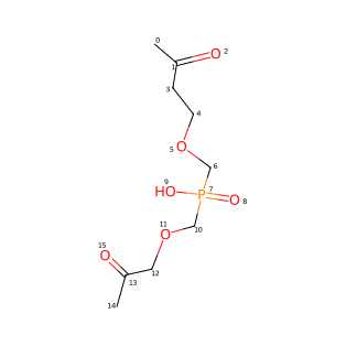 CC(=O)CCOCP(=O)(O)COCC(C)=O